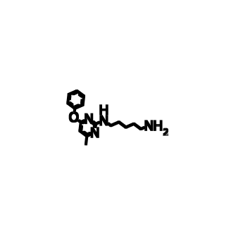 Cc1cc(Oc2ccccc2)nc(NCCCCCN)n1